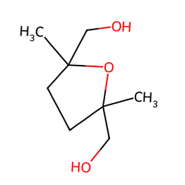 CC1(CO)CCC(C)(CO)O1